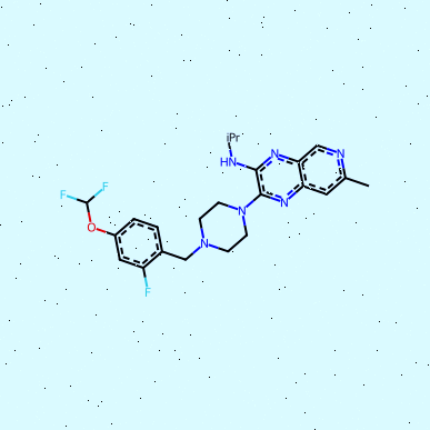 Cc1cc2nc(N3CCN(Cc4ccc(OC(F)F)cc4F)CC3)c(NC(C)C)nc2cn1